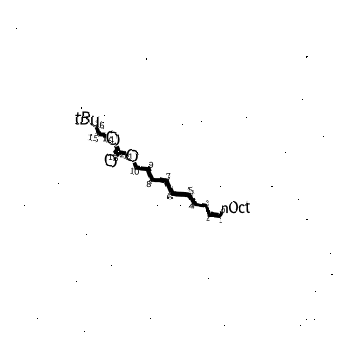 CCCCCCCC/C=C\CCCCCCCCOC(=O)OCC(C)(C)C